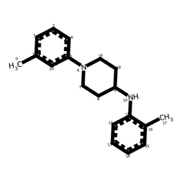 Cc1cccc(N2CCC(Nc3ccccc3C)CC2)c1